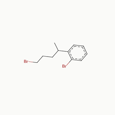 CC(CCCBr)c1ccccc1Br